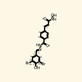 O=C(/C=C/c1ccc(C(=O)N/N=C/c2cc(Br)c(O)c(Br)c2)cc1)NO